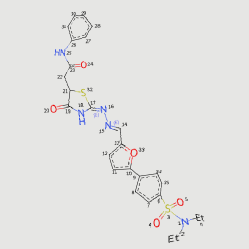 CCN(CC)S(=O)(=O)c1ccc(-c2ccc(/C=N/N=C3\NC(=O)C(CC(=O)Nc4ccccc4)S3)o2)cc1